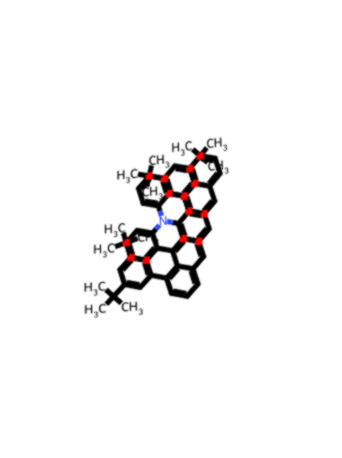 CC(C)(C)c1cc(-c2ccccc2N(c2ccccc2-c2cccc3ccccc23)c2ccccc2-c2cccc3cccc(-c4cc(C(C)(C)C)cc(C(C)(C)C)c4)c23)cc(C(C)(C)C)c1